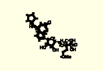 COCCC(C)(OC[C@H]1O[C@@H](n2ccc3c(NC4CCCC4)cc(Cl)nc32)[C@H](O)[C@@H]1O)P(=O)(O)O